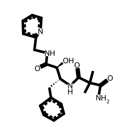 CC(C)(C(N)=O)C(=O)N[C@H](Cc1ccccc1)[C@H](O)C(=O)NCc1ccccn1